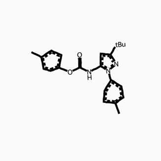 Cc1ccc(OC(=O)Nc2cc(C(C)(C)C)nn2-c2ccc(C)cc2)cc1